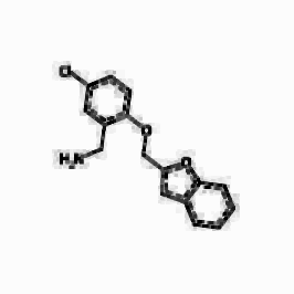 NCc1cc(Cl)ccc1OCc1cc2ccccc2o1